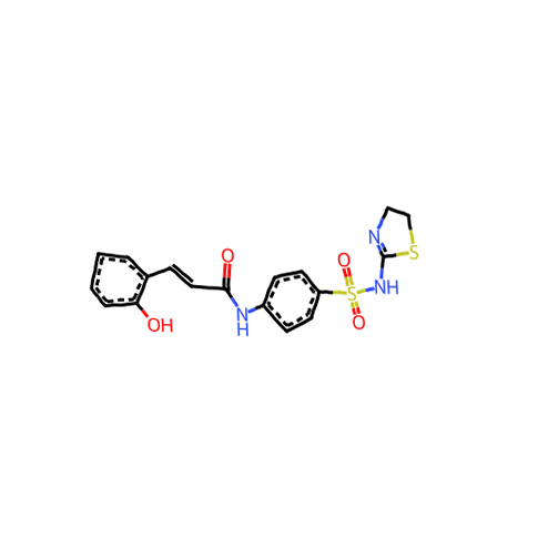 O=C(/C=C/c1ccccc1O)Nc1ccc(S(=O)(=O)NC2=NCCS2)cc1